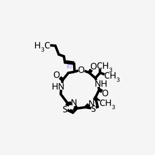 CCCC/C=C/C1CC(=O)NCc2nc(cs2)C2=N[C@@](C)(CS2)C(=O)NC(C(C)C)C(=O)O1